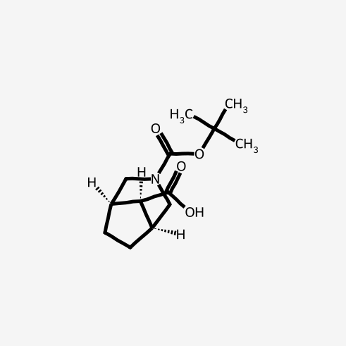 CC(C)(C)OC(=O)N1C[C@H]2CC[C@@H](C1)[C@H]2C(=O)O